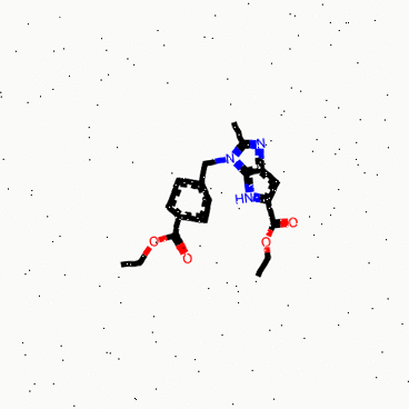 CCOC(=O)c1ccc(Cn2c(C)nc3cc(C(=O)OCC)[nH]c32)cc1